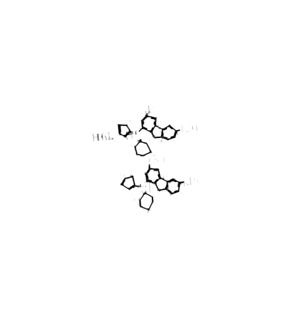 CC(C)(C)c1ccc2c(c1)-c1cc(C(C)(C)C)c[c]([Hf]([C]3=CC=CC3)=[C]3CCCCC3)c1C2.CC(C)(C)c1ccc2c(c1)-c1cc(C(C)(C)C)c[c]([Hf]([C]3=CC=CC3)=[C]3CCCCC3)c1C2.Cl.Cl